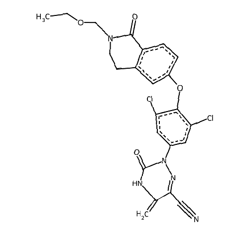 C=C1NC(=O)N(c2cc(Cl)c(Oc3ccc4c(c3)CCN(COCC)C4=O)c(Cl)c2)N=C1C#N